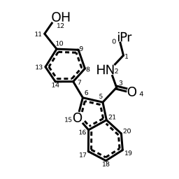 CC(C)CNC(=O)c1c(-c2ccc(CO)cc2)oc2ccccc12